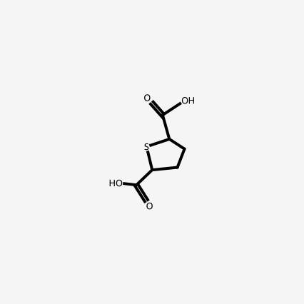 O=C(O)C1CCC(C(=O)O)S1